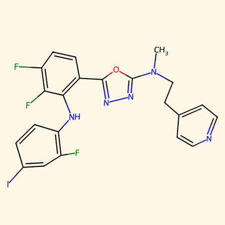 CN(CCc1ccncc1)c1nnc(-c2ccc(F)c(F)c2Nc2ccc(I)cc2F)o1